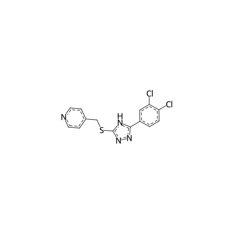 Clc1ccc(-c2nnc(SCc3ccncc3)[nH]2)cc1Cl